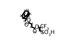 CC1(OC(=O)CCC(=O)OC(CS(=O)(=O)O)C(F)(F)F)C2CC3CC(C2)CC1C3